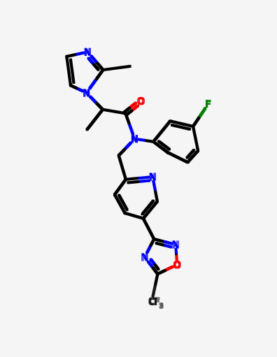 Cc1nccn1C(C)C(=O)N(Cc1ccc(-c2noc(C(F)(F)F)n2)cn1)c1cccc(F)c1